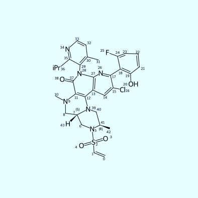 C=CS(=O)(=O)N1C[C@@H]2CN(C)c3c(c4cc(Cl)c(-c5c(O)cccc5F)nc4n(-c4c(C)ccnc4C(C)C)c3=O)N2C[C@H]1C